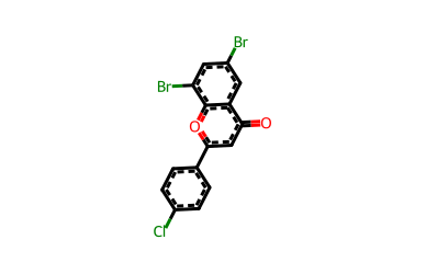 O=c1cc(-c2ccc(Cl)cc2)oc2c(Br)cc(Br)cc12